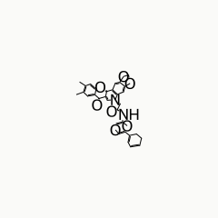 Cc1ccc(C(=O)c2cn(CC(=O)NC3=COC=C(C4=CC=CCC4)O3)c3cc4c(cc3c2=O)OCO4)cc1C